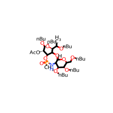 CCCCOCC1O[C@@H]2OC([C@@H](OCCCC)C(C)OCCCC)C([C@@H](COCCCC)OC(C)=O)OP(C)(=O)NC2C(OCCCC)[C@@H]1OCCCC